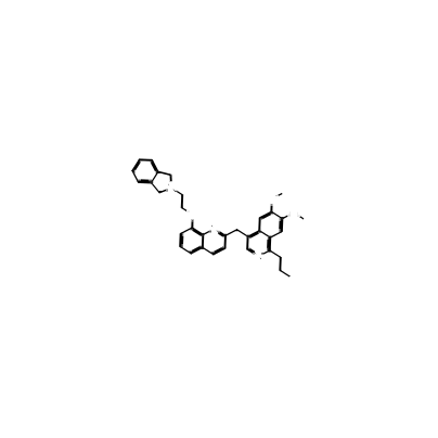 CCCc1ncc(Cc2ccc3cccc(OCCN4Cc5ccccc5C4)c3n2)c2cc(OC)c(OC)cc12